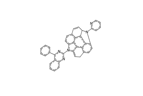 C1=CC2c3c4c(ccc5c4c4c(n(-c6nc(-c7ccccc7)c7ccccc7n6)c6ccc1c3c46)=CC5)N2c1ccccn1